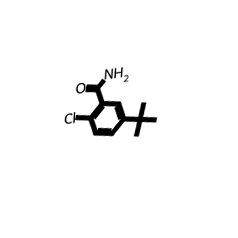 CC(C)(C)c1ccc(Cl)c(C(N)=O)c1